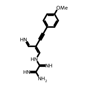 COc1ccc(C#C/C(C=N)=C/NC(=N)C(=N)N)cc1